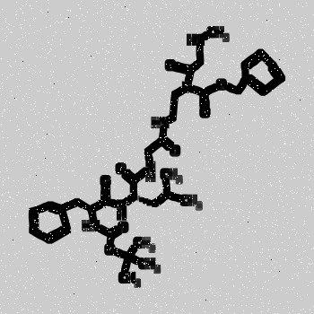 CNCC(=O)N(CCNC(=O)CNC(=O)[C@H](CC(C)C)NC(=O)[C@H](Cc1ccccc1)NC(=O)OC(C)(C)C)C(=O)OCc1ccccc1